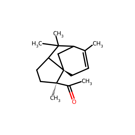 CC(=O)[C@@]1(C)CCC2C(C)(C)C3C[C@@]21CC=C3C